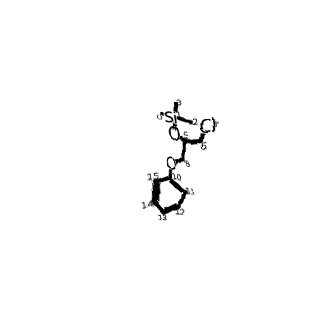 C[Si](C)(C)OC(CCl)COc1ccccc1